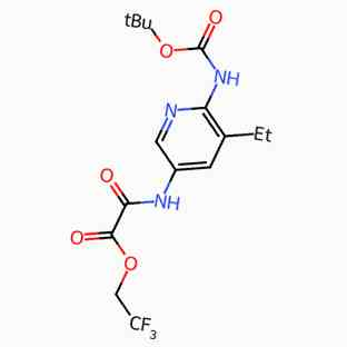 CCc1cc(NC(=O)C(=O)OCC(F)(F)F)cnc1NC(=O)OC(C)(C)C